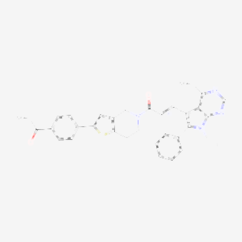 COC(=O)c1ccc(-c2cc3c(s2)CCN(C(=O)/C=C/c2c(-c4ccccc4)n(C)c4ncnc(OC)c24)C3)cc1